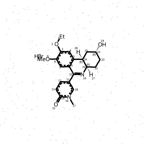 Br.CCOc1cc2c(cc1OC)C(c1ccc(=O)n(C)c1)=N[C@@H]1CC[C@@H](O)C[C@H]21